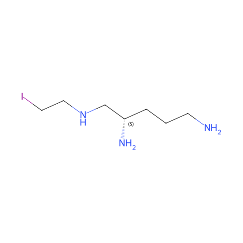 NCCC[C@H](N)CNCCI